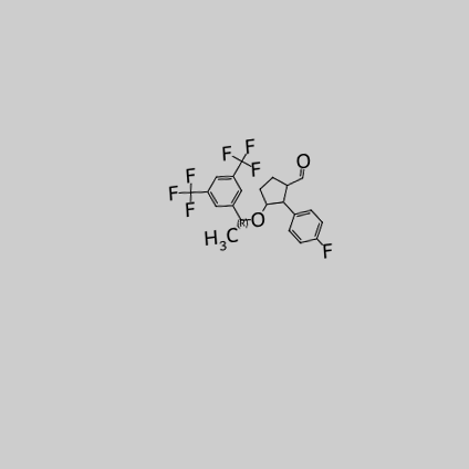 C[C@@H](OC1CCC(C=O)C1c1ccc(F)cc1)c1cc(C(F)(F)F)cc(C(F)(F)F)c1